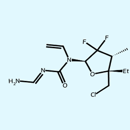 C=CN(C(=O)/N=C/N)[C@@H]1O[C@@](CC)(CCl)[C@@H](C)C1(F)F